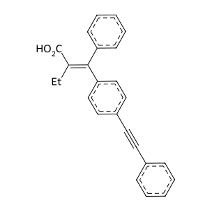 CCC(C(=O)O)=C(c1ccccc1)c1ccc(C#Cc2ccccc2)cc1